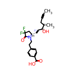 CC#CC[C@H](C)[C@H](O)/C=C/[C@H]1CC(F)(F)C(=O)N1CCc1ccc(C(=O)O)cc1